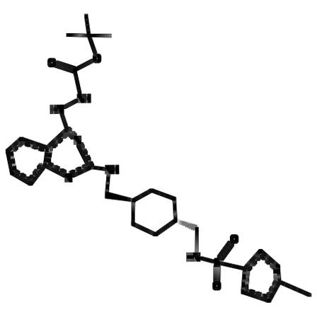 Cc1ccc(S(=O)(=O)NC[C@H]2CC[C@H](CNc3nc(NNC(=O)OC(C)(C)C)c4ccccc4n3)CC2)cc1